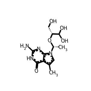 Cc1cn([C@@H](C)O[C@H](CO)C(O)O)c2nc(N)[nH]c(=O)c12